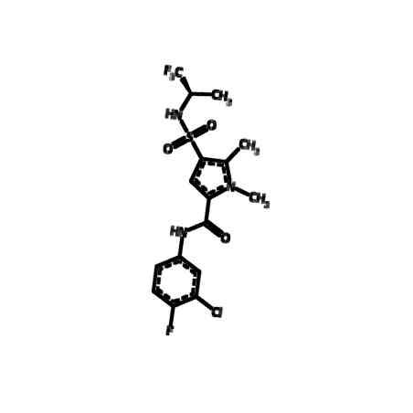 Cc1c(S(=O)(=O)N[C@H](C)C(F)(F)F)cc(C(=O)Nc2ccc(F)c(Cl)c2)n1C